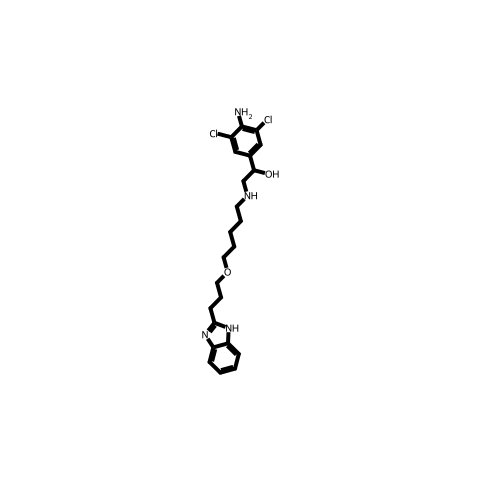 Nc1c(Cl)cc(C(O)CNCCCCCOCCCc2nc3ccccc3[nH]2)cc1Cl